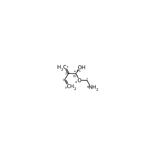 C=CC(=C)[C@@H](O)OCN